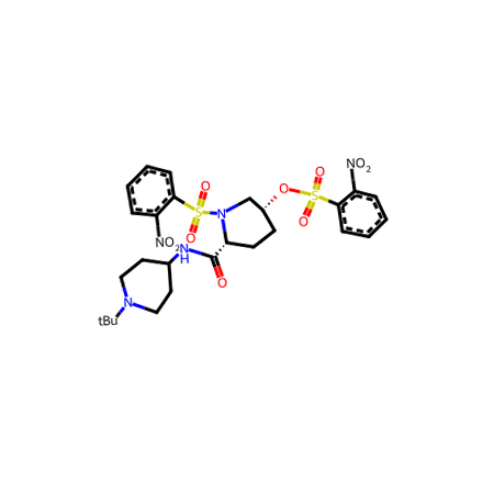 CC(C)(C)N1CCC(NC(=O)[C@H]2CC[C@@H](OS(=O)(=O)c3ccccc3[N+](=O)[O-])CN2S(=O)(=O)c2ccccc2[N+](=O)[O-])CC1